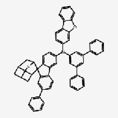 c1ccc(-c2cc(-c3ccccc3)cc(N(c3ccc4c(c3)-c3ccc(-c5ccccc5)cc3C43C4CC5CC6CC3C56C4)c3ccc4c(c3)oc3ccccc34)c2)cc1